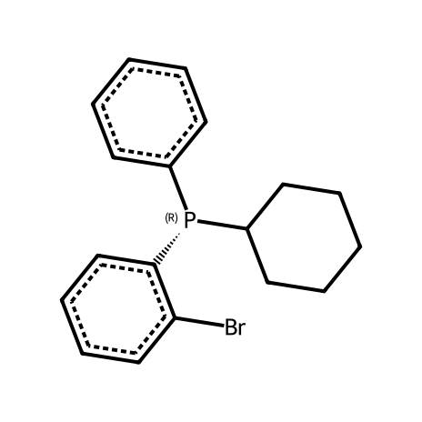 Brc1ccccc1[P@](c1ccccc1)C1CCCCC1